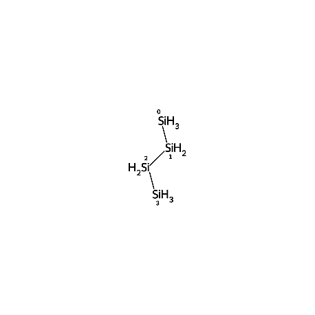 [SiH3][SiH2][SiH2][SiH3]